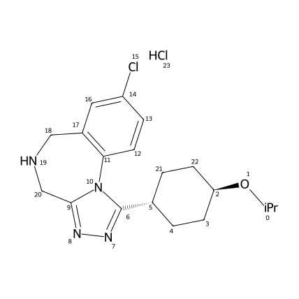 CC(C)O[C@H]1CC[C@H](c2nnc3n2-c2ccc(Cl)cc2CNC3)CC1.Cl